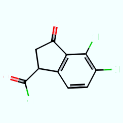 O=C1CC(C(=O)Cl)c2ccc(Cl)c(Cl)c21